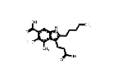 CCCCCc1[nH]c2cc(C(=O)O)c(C)c(C)c2c1CCC(=O)O